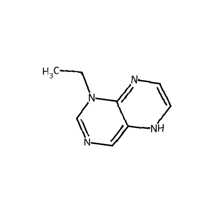 CCN1C=NC=C2NC=CN=C21